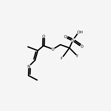 C/C=N\C=C(/C)C(=O)OCC(F)(F)S(=O)(=O)O